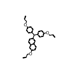 C=CCOc1ccc(C(c2ccc(OCC=C)cc2)c2ccc3cc(OCC=C)ccc3c2)cc1